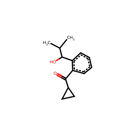 CC(C)C(O)c1ccccc1C(=O)C1CC1